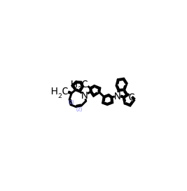 C=C1/C=C\C=C/CN(c2cc(-c3cccc(-n4c5ccccc5c5ccccc54)c3)ccc2C)c2ccccc21